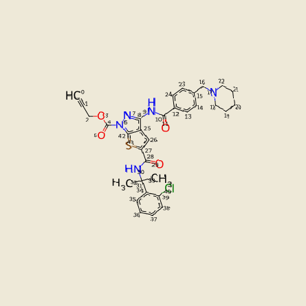 C#CCOC(=O)n1nc(NC(=O)c2ccc(CN3CCCCC3)cc2)c2cc(C(=O)NC(C)(C)c3ccccc3Cl)sc21